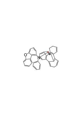 C1=CC2=C3C(=CC1)c1cccc(c1C1=C2C=CCC1)-c1cc(N(c2ccccc2)c2cccc4oc5ccccc5c24)ccc13